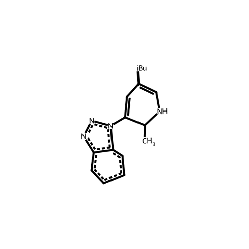 CCC(C)C1=CNC(C)C(n2nnc3ccccc32)=C1